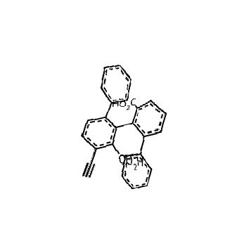 C#Cc1ccc(-c2ccccc2)c(-c2c(C(=O)O)cccc2-c2ccccc2)c1C(=O)O